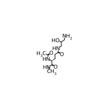 CNC(=O)[C@H](CCC(=O)NCC(O)CN)NC(C)=O